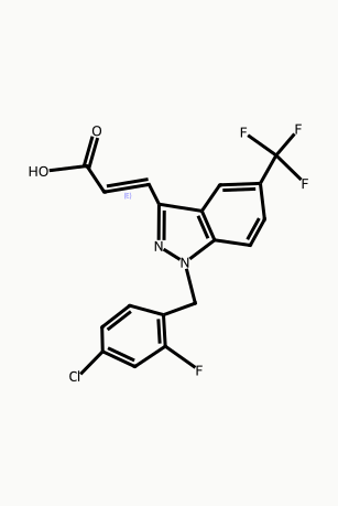 O=C(O)/C=C/c1nn(Cc2ccc(Cl)cc2F)c2ccc(C(F)(F)F)cc12